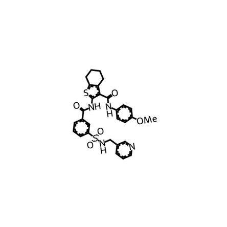 COc1ccc(NC(=O)c2c(NC(=O)c3cccc(S(=O)(=O)NCc4cccnc4)c3)sc3c2CCCC3)cc1